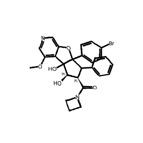 COc1cncc2c1C1(O)[C@H](O)[C@H](C(=O)N3CCC3)C(c3ccccc3)C1(c1ccc(Br)cc1)O2